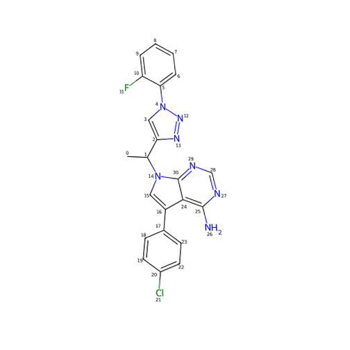 CC(c1cn(-c2ccccc2F)nn1)n1cc(-c2ccc(Cl)cc2)c2c(N)ncnc21